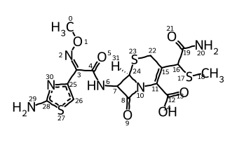 CO/N=C(\C(=O)NC1C(=O)N2C(C(=O)O)=C(C(SC)C(N)=O)CS[C@H]12)c1csc(N)n1